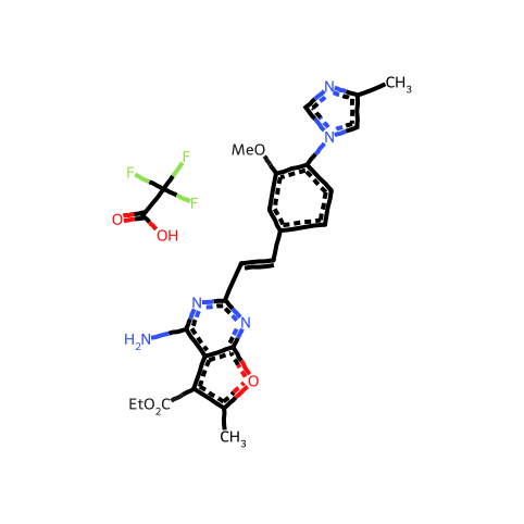 CCOC(=O)c1c(C)oc2nc(C=Cc3ccc(-n4cnc(C)c4)c(OC)c3)nc(N)c12.O=C(O)C(F)(F)F